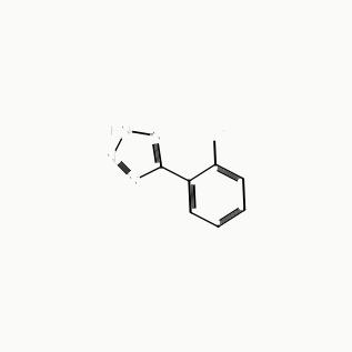 CC(C)c1ccccc1-c1nn[nH]n1